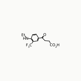 CCNc1ccc(C(=O)CCC(=O)O)cc1C(F)(F)F